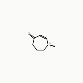 C[C@@H]1C=CC(=O)CCC1